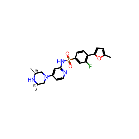 Cc1ccc(-c2ccc(S(=O)(=O)Nc3cc(N4C[C@@H](C)N[C@@H](C)C4)ccn3)cc2F)o1